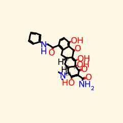 CN(C)[C@@H]1C(O)=C(C(N)=O)C(=O)[C@@]2(O)C(O)=C3C(=O)c4c(O)ccc(C(=O)CNc5ccccc5)c4C[C@H]3C[C@@H]12